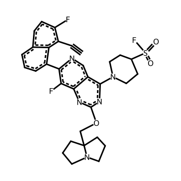 C#Cc1c(F)ccc2cccc(-c3ncc4c(N5CCC(S(=O)(=O)F)CC5)nc(OCC56CCCN5CCC6)nc4c3F)c12